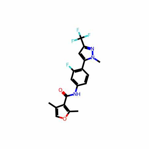 Cc1coc(C)c1C(=O)Nc1ccc(-c2cc(C(F)(F)F)nn2C)c(F)c1